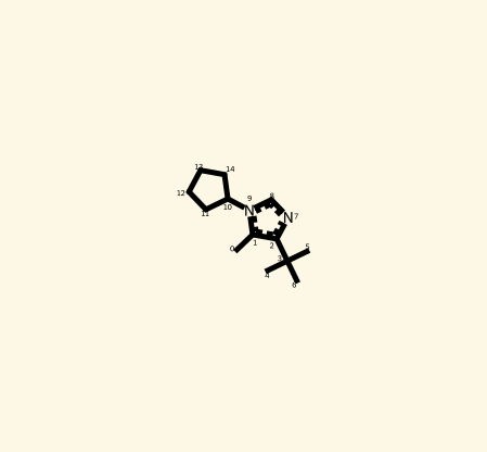 Cc1c(C(C)(C)C)ncn1C1CCCC1